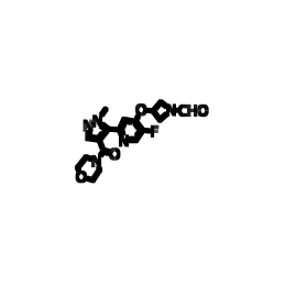 Cn1ncc(C(=O)N2CCOCC2)c1-c1cc(OC2CN(C=O)C2)c(F)cn1